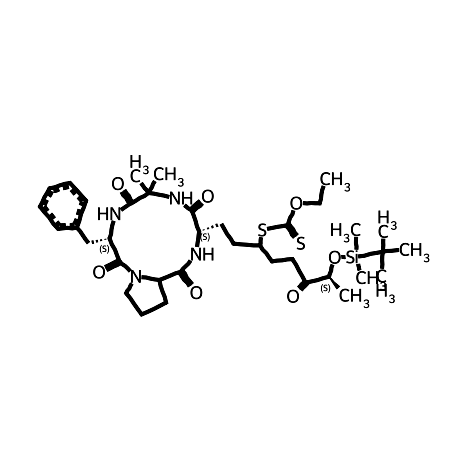 CCOC(=S)SC(CCC(=O)[C@H](C)O[Si](C)(C)C(C)(C)C)CC[C@@H]1NC(=O)C2CCCN2C(=O)[C@H](Cc2ccccc2)NC(=O)C(C)(C)NC1=O